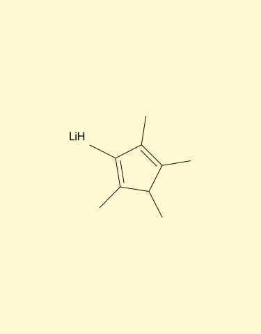 CC1=C(C)C(C)C(C)=C1C.[LiH]